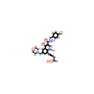 CC(O)CC#Cc1cc(CN2CCOCC2)cc2c(=O)c(C(=O)NCc3ccc(Cl)cc3)cn(C)c12